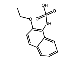 CCOc1ccc2ccccc2c1NS(=O)(=O)O